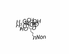 CCCCCCCCCCCCC(OP(=O)(O)O)C(O)C[N+](C)(C)C